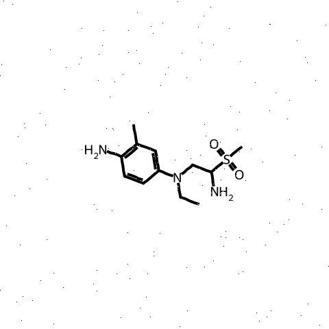 CCN(CC(N)S(C)(=O)=O)c1ccc(N)c(C)c1